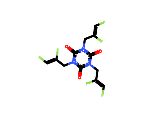 O=c1n(C/C(F)=C/F)c(=O)n(C/C(F)=C/F)c(=O)n1C/C(F)=C/F